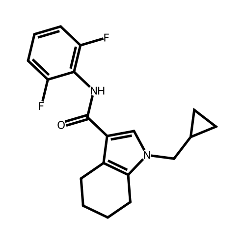 O=C(Nc1c(F)cccc1F)c1cn(CC2CC2)c2c1CCCC2